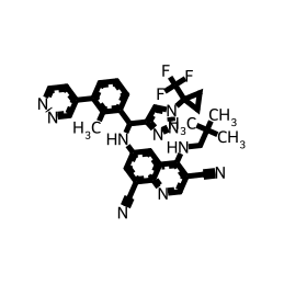 Cc1c(-c2ccnnc2)cccc1C(Nc1cc(C#N)c2ncc(C#N)c(NCC(C)(C)C)c2c1)c1cn(C2(C(F)(F)F)CC2)nn1